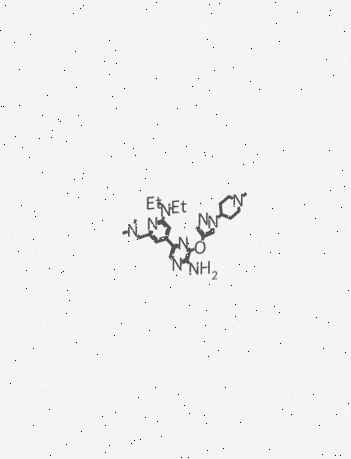 CCN(CC)c1cc(-c2cnc(N)c(Oc3cnn(C4CCN(C)CC4)c3)n2)cc(CN(C)C)n1